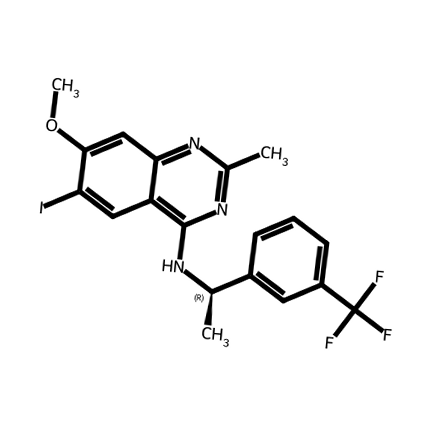 COc1cc2nc(C)nc(N[C@H](C)c3cccc(C(F)(F)F)c3)c2cc1I